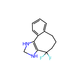 FC1(F)CCCc2ccccc2C2=C1NCN2